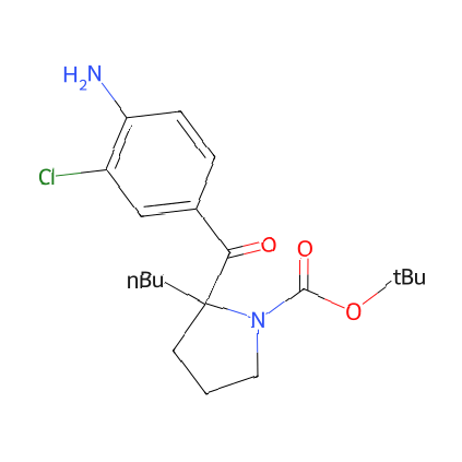 CCCCC1(C(=O)c2ccc(N)c(Cl)c2)CCCN1C(=O)OC(C)(C)C